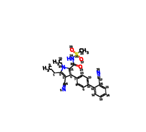 CCc1c(C#N)c(-c2ccc(-c3ccccc3C#N)cc2)c(C(=O)NS(C)(=O)=O)n1C